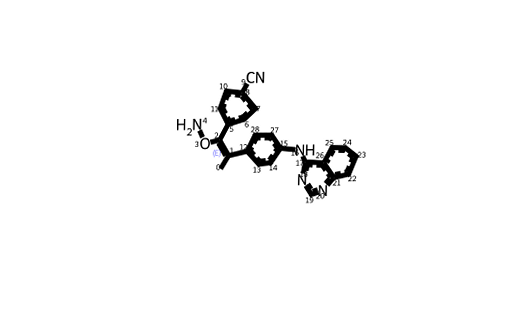 C/C(=C(\ON)c1ccc(C#N)cc1)c1ccc(Nc2ncnc3ccccc23)cc1